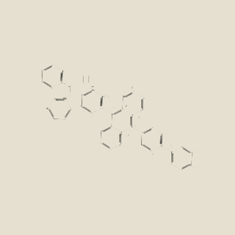 C=P(c1ccccc1)(c1ccccc1)c1ccc(-c2c3ccccc3c(-c3ccc(-c4ccccc4)cc3)c3ccccc23)cc1